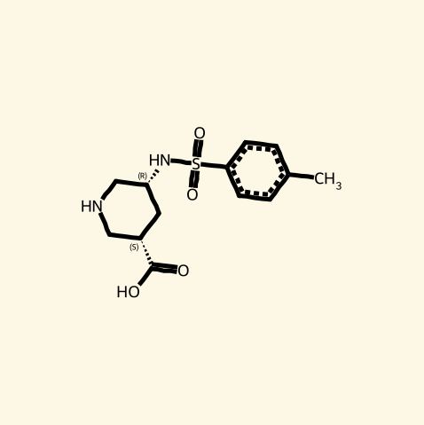 Cc1ccc(S(=O)(=O)N[C@H]2CNC[C@@H](C(=O)O)C2)cc1